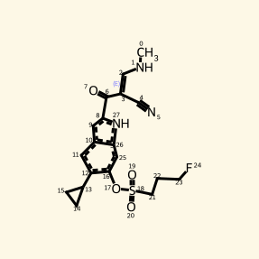 CN/C=C(\C#N)C(=O)c1cc2cc(C3CC3)c(OS(=O)(=O)CCCF)cc2[nH]1